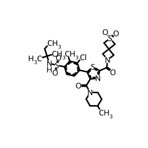 CCC(C)(C)NS(=O)(=O)c1ccc(-c2sc(C(=O)N3CC4(C3)CS(=O)(=O)C4)nc2C(=O)N2CCC(C)CC2)c(Cl)c1C